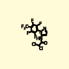 O=C(Nc1ccnn1-c1c(F)c(F)c(C(F)(F)F)c(F)c1F)C(Cl)Cl